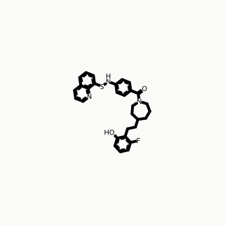 O=C(c1ccc(NSc2cccc3cccnc23)cc1)N1CCCC(CCc2c(O)cccc2F)CC1